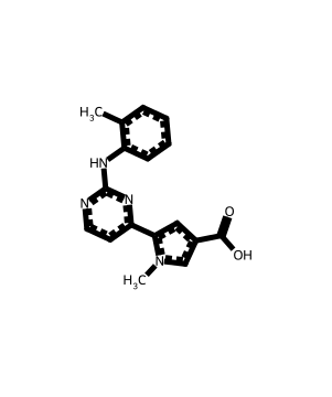 Cc1ccccc1Nc1nccc(-c2cc(C(=O)O)cn2C)n1